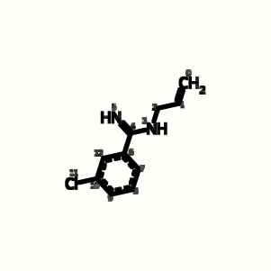 C=CCNC(=N)c1cccc(Cl)c1